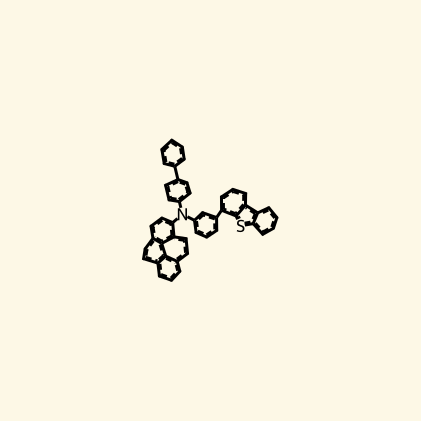 c1ccc(-c2ccc(N(c3cccc(-c4cccc5c4sc4ccccc45)c3)c3ccc4ccc5cccc6ccc3c4c56)cc2)cc1